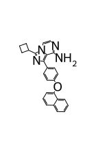 Nc1nccn2c(C3CCC3)nc(-c3ccc(Oc4cccc5ccccc45)cc3)c12